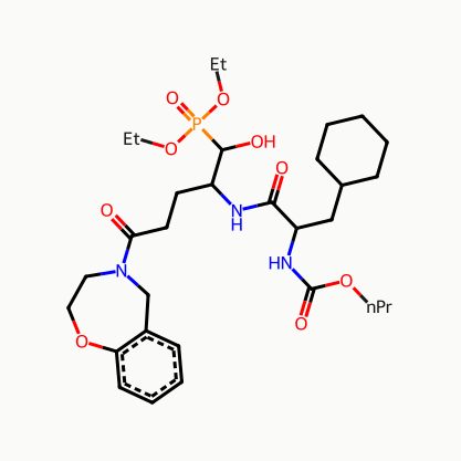 CCCOC(=O)NC(CC1CCCCC1)C(=O)NC(CCC(=O)N1CCOc2ccccc2C1)C(O)P(=O)(OCC)OCC